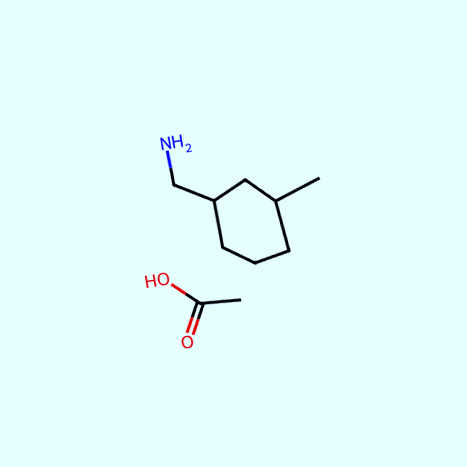 CC(=O)O.CC1CCCC(CN)C1